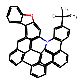 CC(C)(C)c1ccc(-c2ccccc2)c(N(c2ccc3c(c2)oc2ccccc23)c2ccccc2-c2cccc3cccc(-c4ccccc4)c23)c1